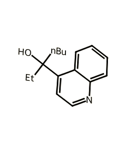 CCCCC(O)(CC)c1ccnc2ccccc12